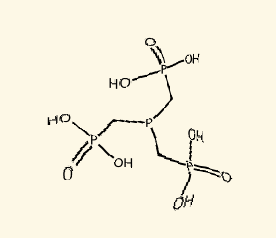 O=P(O)(O)CP(CP(=O)(O)O)CP(=O)(O)O